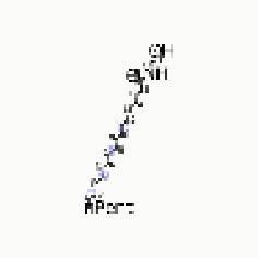 CCCCC/C=C/C/C=C/C/C=C/C/C=C/CCCCCC(=O)NCCO